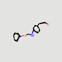 O=C=Cc1ccc(NCOc2ccccc2)cc1